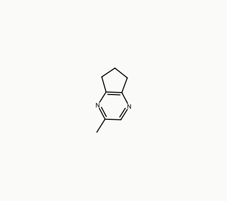 Cc1cnc2c(n1)CCC2